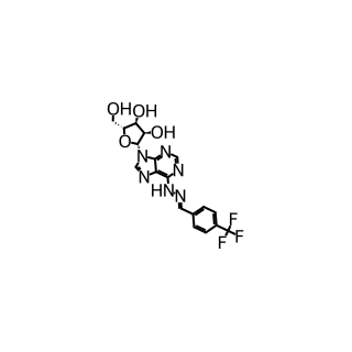 OC[C@H]1O[C@@H](n2cnc3c(N/N=C/c4ccc(C(F)(F)F)cc4)ncnc32)[C@H](O)[C@@H]1O